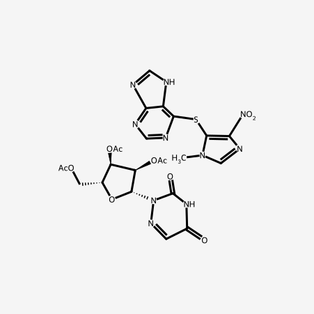 CC(=O)OC[C@H]1O[C@@H](n2ncc(=O)[nH]c2=O)[C@H](OC(C)=O)[C@@H]1OC(C)=O.Cn1cnc([N+](=O)[O-])c1Sc1ncnc2nc[nH]c12